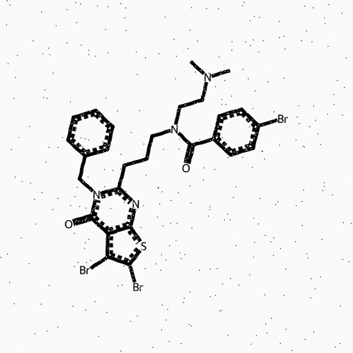 CN(C)CCN(CCCc1nc2sc(Br)c(Br)c2c(=O)n1Cc1ccccc1)C(=O)c1ccc(Br)cc1